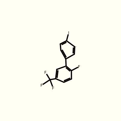 Fc1ccc(C(F)(F)F)cc1-c1c[c]c(I)cc1